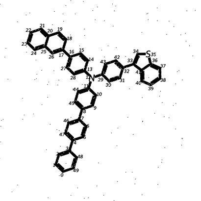 c1ccc(-c2ccc(-c3ccc(N(c4ccc(-c5ccc6ccccc6c5)cc4)c4ccc(-c5csc6ccccc56)cc4)cc3)cc2)cc1